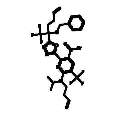 C=CCCN(c1nc(-c2nnc(C(CCC=C)(OCc3ccccc3)C(F)(F)F)o2)c([N+](=O)[O-])cc1C(F)(F)F)C(C)C